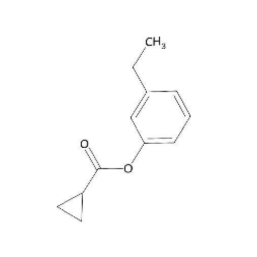 CCc1cccc(OC(=O)C2CC2)c1